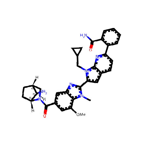 COc1cc(C(=O)N2C[C@H]3CC[C@@H]2[C@@H]3N)cc2nc(-c3cc4ccc(-c5ccccc5C(N)=O)nc4n3CC3CC3)n(C)c12